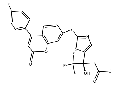 O=C(O)C[C@@](O)(c1cnc(Sc2ccc3c(-c4ccc(F)cc4)cc(=O)oc3c2)s1)C(F)(F)F